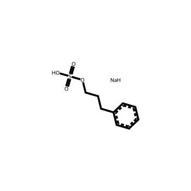 O=S(=O)(O)OCCCc1ccccc1.[NaH]